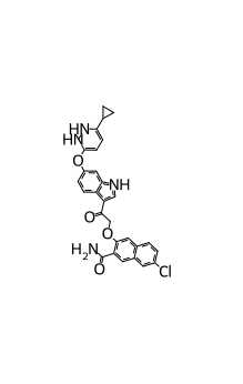 NC(=O)c1cc2cc(Cl)ccc2cc1OCC(=O)c1c[nH]c2cc(OC3=CC=C(C4CC4)NN3)ccc12